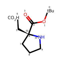 CC(C)(C)OC(=O)[C@@]1(CC(=O)O)CCCN1